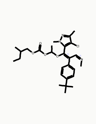 CCC(C)COC(=O)OC(C)O/C(=C(/C=N\C)c1ccc(C(C)(C)C)cc1)c1c(Cl)c(C)nn1C